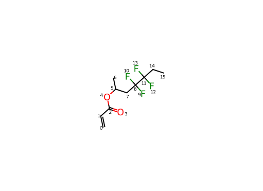 C=CC(=O)OC(C)CC(F)(F)C(F)(F)CC